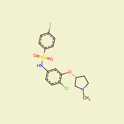 CN1CC[C@@H](Oc2cc(NS(=O)(=O)c3ccc(F)cc3)ccc2Cl)C1